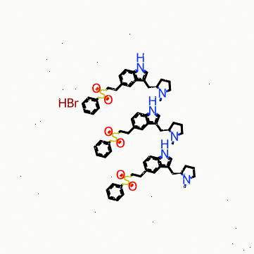 Br.CN1CCC[C@@H]1Cc1c[nH]c2ccc(CCS(=O)(=O)c3ccccc3)cc12.CN1CCC[C@@H]1Cc1c[nH]c2ccc(CCS(=O)(=O)c3ccccc3)cc12.CN1CCC[C@@H]1Cc1c[nH]c2ccc(CCS(=O)(=O)c3ccccc3)cc12